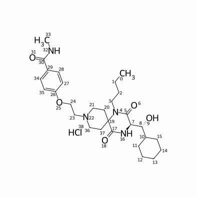 CCCCN1C(=O)[C@@H]([C@H](O)C2CCCCC2)NC(=O)C12CCN(CCOc1ccc(C(=O)NC)cc1)CC2.Cl